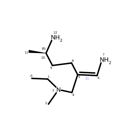 CCN(C)C/C(=C/N)CC[C@@H](C)N